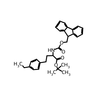 CCc1ccc(CCC(NC(=O)OCC2c3ccccc3-c3ccccc32)C(=O)OC(C)(C)C)cc1